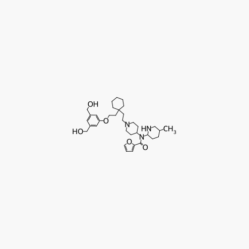 CC1CCC(N(C(=O)c2ccco2)C2CCN(CCC3(CCOc4cc(CO)cc(CO)c4)CCCCC3)CC2)NC1